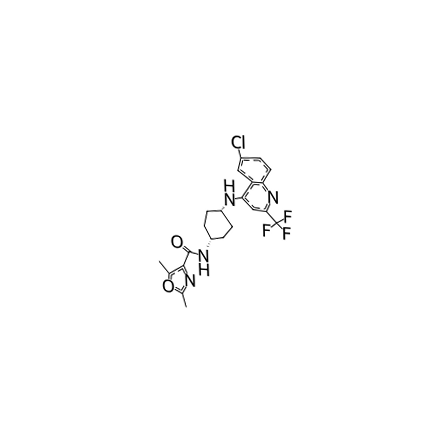 Cc1nc(C(=O)N[C@H]2CC[C@@H](Nc3cc(C(F)(F)F)nc4ccc(Cl)cc34)CC2)c(C)o1